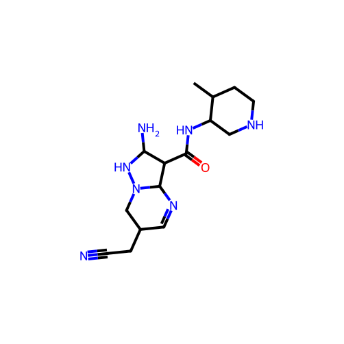 CC1CCNCC1NC(=O)C1C(N)NN2CC(CC#N)C=NC12